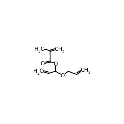 C=CCOC(C=C)OC(=O)C(=C)C